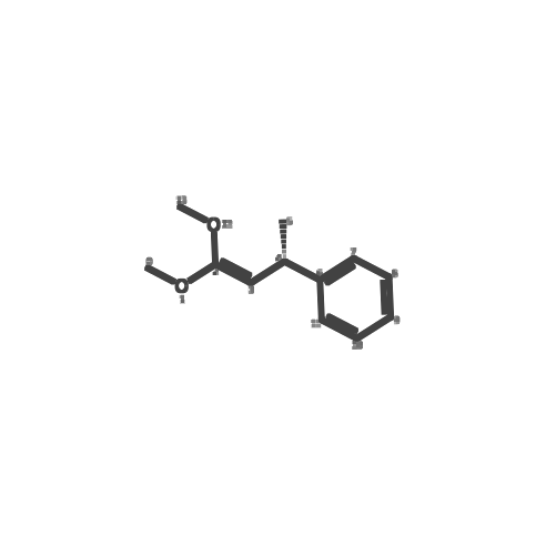 COC(=C[C@H](C)c1ccccc1)OC